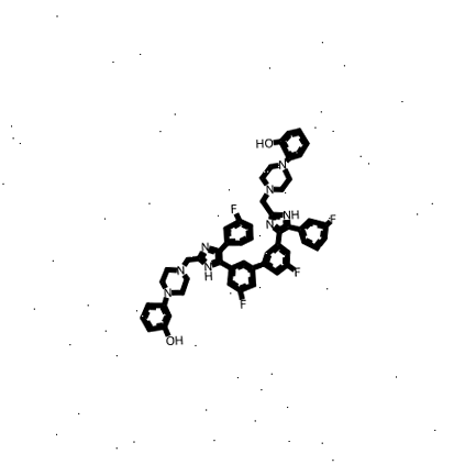 Oc1cccc(N2CCN(Cc3nc(-c4cccc(F)c4)c(-c4cc(F)cc(-c5cc(F)cc(-c6nc(CN7CCN(c8ccccc8O)CC7)[nH]c6-c6cccc(F)c6)c5)c4)[nH]3)CC2)c1